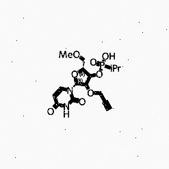 C#CCOC1C(OP(=O)(O)C(C)C)[C@@H](COC)O[C@H]1n1ccc(=O)[nH]c1=O